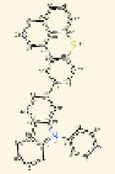 c1ccc(-n2c3ccccc3c3ccc(-c4ccc5c(c4)-c4cccc6cccc(c46)S5)cc32)cc1